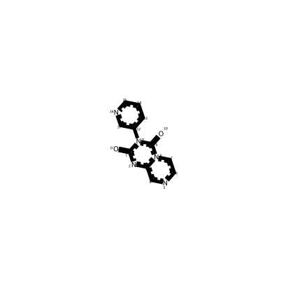 O=c1nc2cnccn2c(=O)n1-c1cccnc1